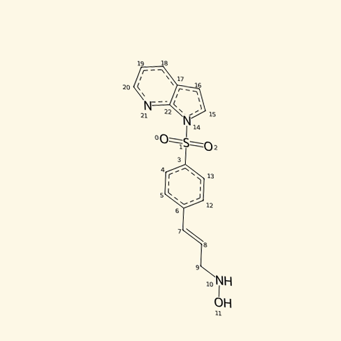 O=S(=O)(c1ccc(/C=C/CNO)cc1)n1ccc2cccnc21